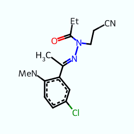 CCC(=O)N(CCC#N)/N=C(\C)c1cc(Cl)ccc1NC